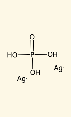 O=P(O)(O)O.[Ag].[Ag]